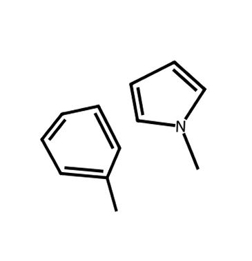 Cc1ccccc1.Cn1cccc1